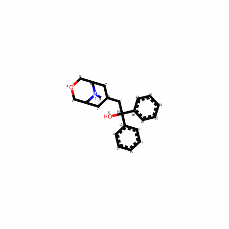 CN1C2COCC1CC(CC(O)(c1ccccc1)c1ccccc1)C2